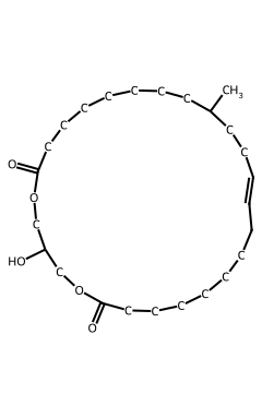 CC1CC/C=C/CCCCCCCC(=O)OCC(O)COC(=O)CCCCCCC1